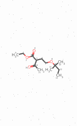 CCOC(=O)C(CCOC(C)(C)CC)C(C)=O